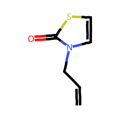 C=CCn1ccsc1=O